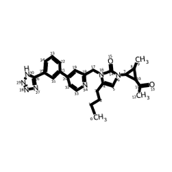 CCCCc1cn(C2C(C)C2C(C)=O)c(=O)n1Cc1cc(-c2cccc(-c3nnn[nH]3)c2)ccn1